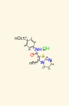 CCCCCCCCc1ccc(NC(=O)C2=C(CCC)N3CCCN=C3S2)cc1.Cl